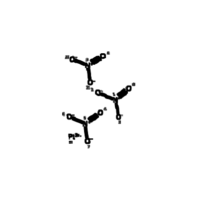 O=[N+]([O-])[O-].O=[N+]([O-])[O-].O=[N+]([O-])[O-].[Pt+3]